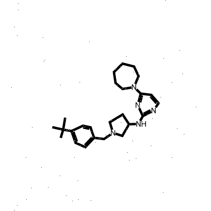 CC(C)(C)c1ccc(CN2CCC(Nc3nccc(N4CCCCCC4)n3)C2)cc1